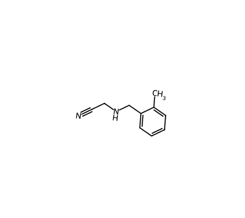 Cc1ccccc1CNCC#N